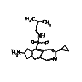 CC(C)CNS(=O)(=O)c1c2c(cc3cnc(C4CC4)cc13)CC(N)C2